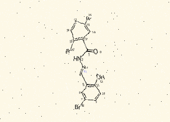 O=C(N/N=C/c1cc(Br)ccc1O)c1cc(Br)ccc1Br